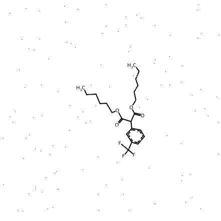 CCCCCCOC(=O)C(C(=O)OCCCCCC)c1cccc(C(F)(F)F)c1